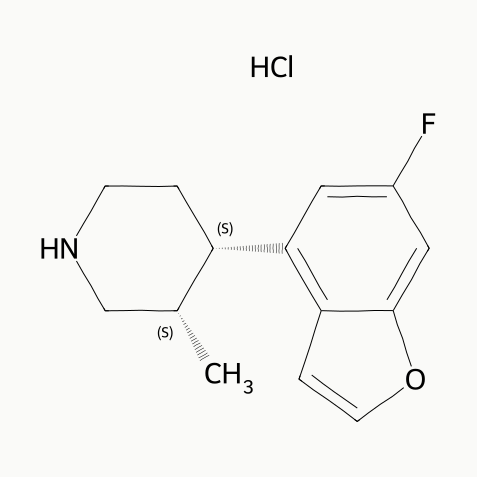 C[C@@H]1CNCC[C@@H]1c1cc(F)cc2occc12.Cl